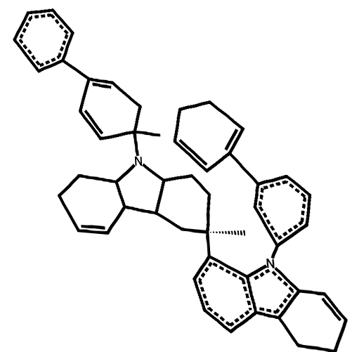 CC1(N2C3CCC=CC3C3C[C@](C)(c4cccc5c6c(n(-c7cccc(C8=CCCC=C8)c7)c45)C=CCC6)CCC32)C=CC(c2ccccc2)=CC1